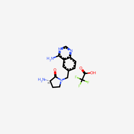 Nc1ncnc2ccc(CN3CC[C@H](N)C3=O)cc12.O=C(O)C(F)(F)F